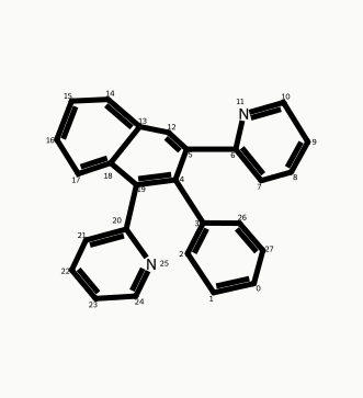 c1ccc(-c2c(-c3ccccn3)cc3ccccc3c2-c2ccccn2)cc1